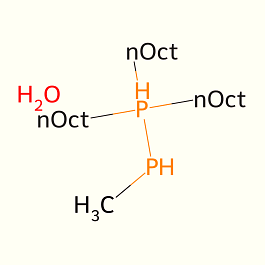 CCCCCCCC[PH](CCCCCCCC)(CCCCCCCC)PC.O